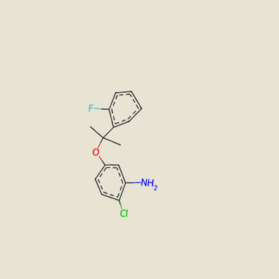 CC(C)(Oc1ccc(Cl)c(N)c1)c1ccccc1F